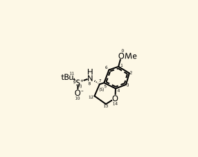 COc1ccc2c(c1)[C@@H](N[S@@+]([O-])C(C)(C)C)CCO2